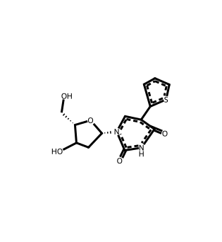 O=c1[nH]c(=O)n([C@@H]2CC(O)[C@H](CO)O2)cc1-c1cccs1